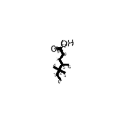 CCC(C)(C)C(C)CCC(=O)O